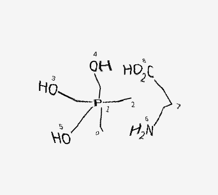 CP(C)(O)(O)O.NCC(=O)O